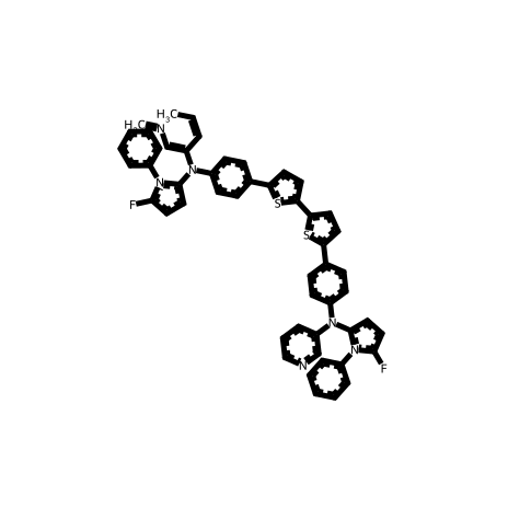 C=N/C=C(\C=C/C)N(c1ccc(-c2ccc(-c3ccc(-c4ccc(N(c5cccnc5)c5ccc(F)n5-c5ccccc5)cc4)s3)s2)cc1)c1ccc(F)n1-c1ccccc1